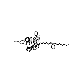 CCCCCCCC(=O)CCCCCC/C=C/C(C(=O)N[C@@H](Cc1ccc(OCCCC)cc1)C(=O)OC)C(O)(CCOC)C(=O)O